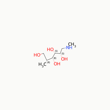 CNC[C@H](O)[C@@H](O)[C@H](O)[C@H](C)CO